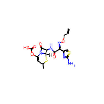 C=CCON=C(C(=O)NC1C(=O)N2C(OC(=O)O)=CC(C)S[C@@H]12)c1csc(N)n1